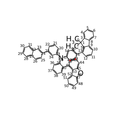 CC1(C)c2ccccc2-c2cccc(-c3ccc(N(c4cccc(-c5ccc6ccccc6c5)c4)c4ccccc4-c4cccc5oc6ccccc6c45)cc3)c21